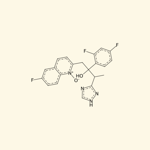 CC(c1nc[nH]n1)C(O)(Cc1ccc2cc(F)ccc2[n+]1[O-])c1ccc(F)cc1F